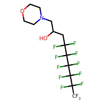 OC(CN1CCOCC1)CC(F)(F)C(F)(F)C(F)(F)C(F)(F)C(F)(F)C(F)(F)F